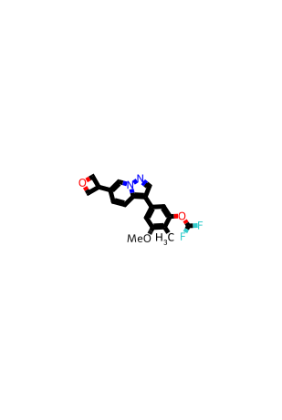 COc1cc(-c2cnn3cc(C4COC4)ccc23)cc(OC(F)F)c1C